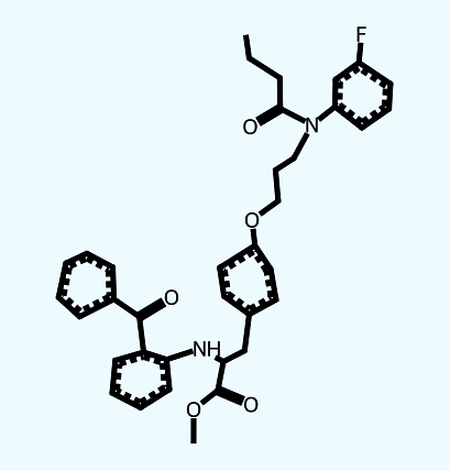 CCCC(=O)N(CCCOc1ccc(CC(Nc2ccccc2C(=O)c2ccccc2)C(=O)OC)cc1)c1cccc(F)c1